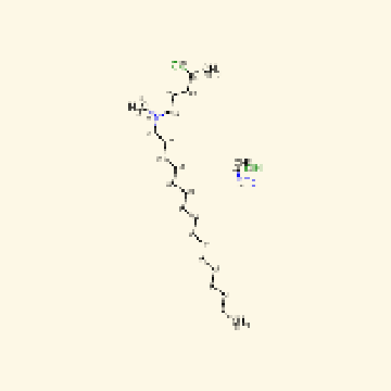 CCCCCCCCCCCCCCCCN(C)CCCC(C)Cl.CN.Cl